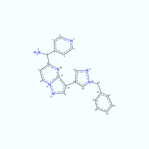 NC(c1ccncc1)c1ccn2ncc(-c3cnn(Cc4ccccc4)c3)c2n1